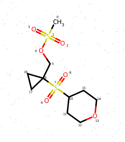 CS(=O)(=O)OCC1(S(=O)(=O)C2CCOCC2)CC1